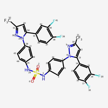 O=S(=O)(Nc1ccc(-n2nc(C(F)(F)F)cc2-c2ccc(F)c(F)c2)cc1)Nc1ccc(-n2nc(C(F)(F)F)cc2-c2ccc(F)c(F)c2)cc1